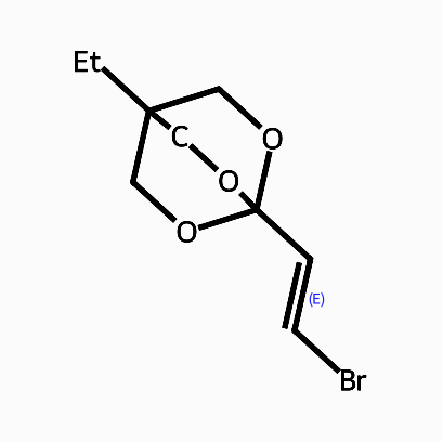 CCC12COC(/C=C/Br)(OC1)OC2